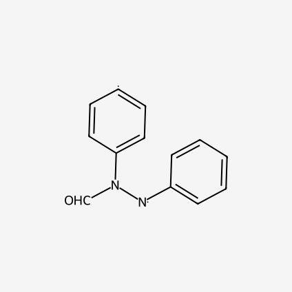 O=CN([N]c1ccccc1)c1cc[c]cc1